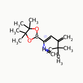 C=N/C(=C\C(=C)C(C)(C)C)B1OC(C)(C)C(C)(C)O1